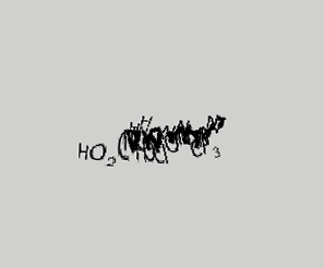 Cn1c(-c2cn(-c3ncccn3)nc2C(F)(F)F)cnc1C(=O)Nc1ccc(C(=O)N[C@@H]2[C@@H]3CN(C(=O)O)C[C@@H]32)c(Cl)c1